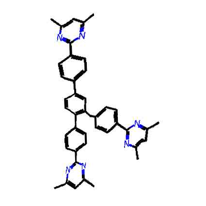 Cc1cc(C)nc(-c2ccc(-c3ccc(-c4ccc(-c5nc(C)cc(C)n5)cc4)c(-c4ccc(-c5nc(C)cc(C)n5)cc4)c3)cc2)n1